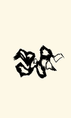 OC1(c2ccccc2-c2ccc3oc4c(Cl)cccc4c3c2)C2CC3CC(C2)CC1C3